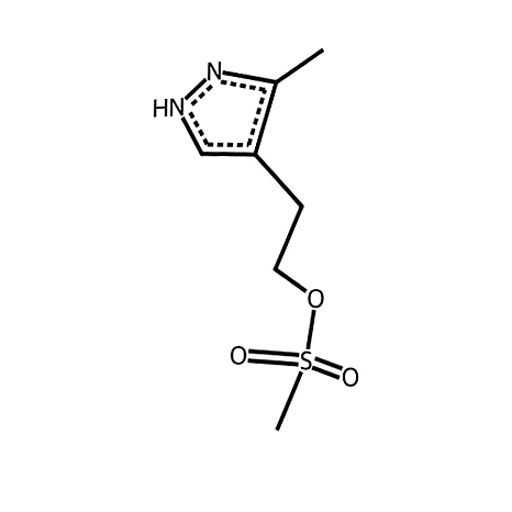 Cc1n[nH]cc1CCOS(C)(=O)=O